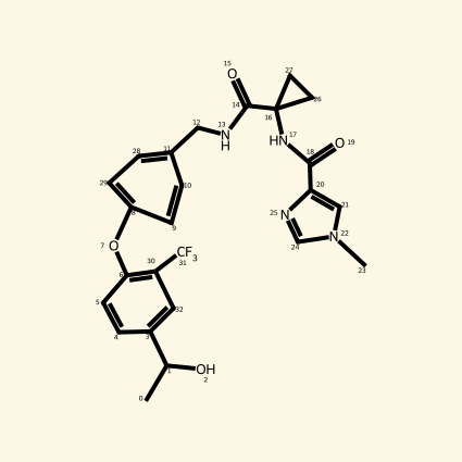 CC(O)c1ccc(Oc2ccc(CNC(=O)C3(NC(=O)c4cn(C)cn4)CC3)cc2)c(C(F)(F)F)c1